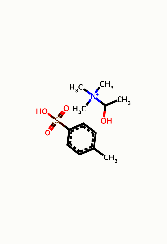 CC(O)[N+](C)(C)C.Cc1ccc(S(=O)(=O)O)cc1